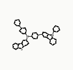 c1ccc(-c2ccc(N(c3ccc(-c4ccc5c(c4)c4ccccc4n5-c4ccccc4)cc3)c3ccc4sc5ccccc5c4c3)cc2)cc1